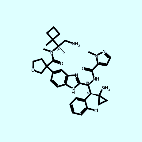 CN(C(=O)C1(c2ccc3[nH]c([C@@H](NC(=O)c4ccnn4C)[C@H](c4ccccc4Cl)C4([SiH3])CC4)nc3c2)CCOC1)[C@](C)(CN)C1(C)CCC1